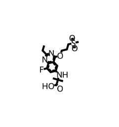 CCc1nc(OCCCS(C)(=O)=O)c2cc(NC(C)(C)C(=O)O)cc(F)c2n1